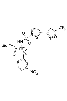 CC(C)(C)OC(=O)[C@@]1(NS(=O)(=O)c2ccc(-c3cc(C(F)(F)F)on3)s2)C[C@H]1c1cccc([N+](=O)[O-])c1